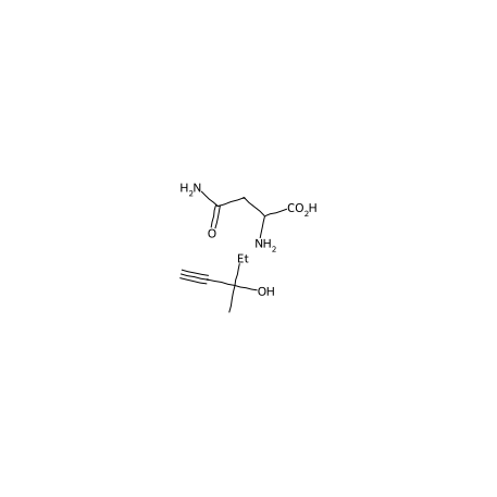 C#CC(C)(O)CC.NC(=O)CC(N)C(=O)O